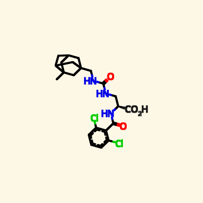 CC12CC3CC1CC(CNC(=O)NC[C@H](NC(=O)c1c(Cl)cccc1Cl)C(=O)O)(C3)C2